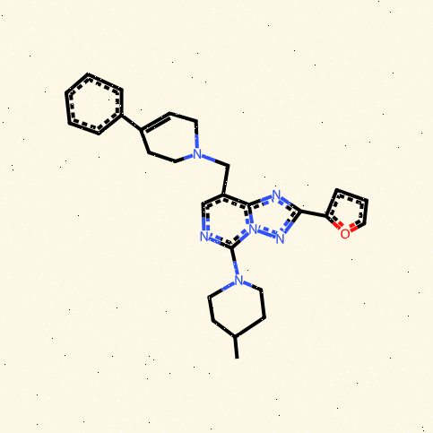 CC1CCN(c2ncc(CN3CC=C(c4ccccc4)CC3)c3nc(-c4ccco4)nn23)CC1